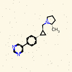 C[C@H]1CCCN1C[C@H]1C[C@@H]1c1ccc(-c2cncnc2)cc1